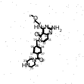 COCCNc1nc(N)nc2ccn(Cc3ccc(C(=O)N4CCNCC4)cc3)c(=O)c12